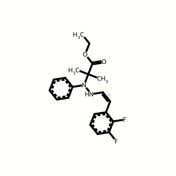 CCOC(=O)C(C)(C)N(N/C=C\c1cccc(F)c1F)c1ccccc1